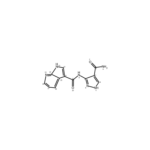 NC(=O)c1c[nH]nc1NC(=O)c1c[nH]c2ncccc12